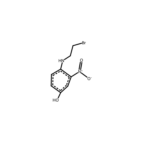 O=[N+]([O-])c1cc(O)ccc1NCCBr